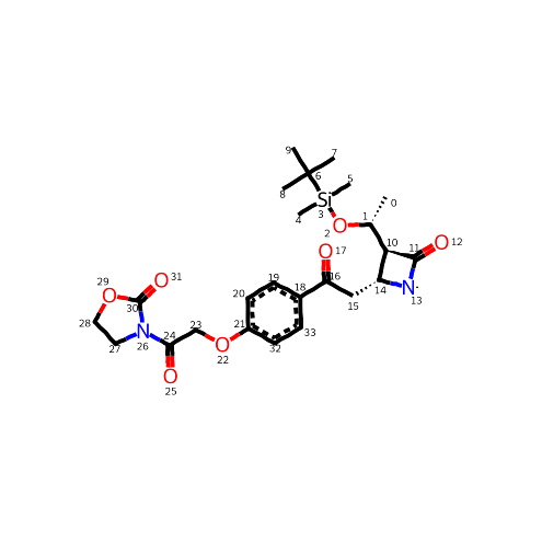 C[C@@H](O[Si](C)(C)C(C)(C)C)[C@H]1C(=O)[N][C@@H]1CC(=O)c1ccc(OCC(=O)N2CCOC2=O)cc1